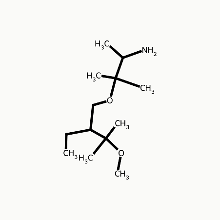 CCC(COC(C)(C)C(C)N)C(C)(C)OC